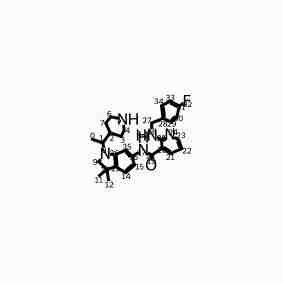 CC(C1CCNCC1)N1CC(C)(C)c2ccc(NC(=O)c3cccnc3NCc3ccc(F)cc3)cc21